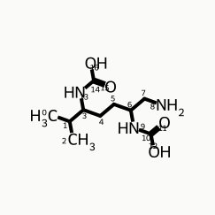 CC(C)C(CCC(CN)NC(=O)O)NC(=O)O